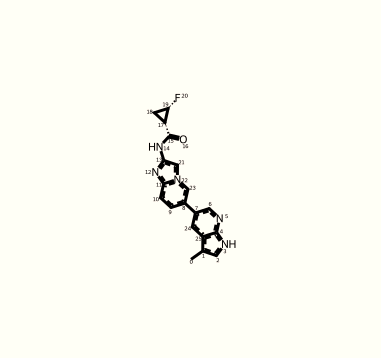 Cc1c[nH]c2ncc(-c3ccc4nc(NC(=O)[C@@H]5C[C@@H]5F)cn4c3)cc12